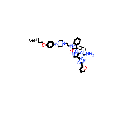 COCCOc1ccc(N2CCN(CCNC(=O)C(C)(c3ccccc3)n3ncc4c3nc(N)n3nc(-c5ccco5)nc43)CC2)cc1